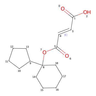 O=C(O)/C=C/C(=O)OC1(C2CCCC2)CCCCC1